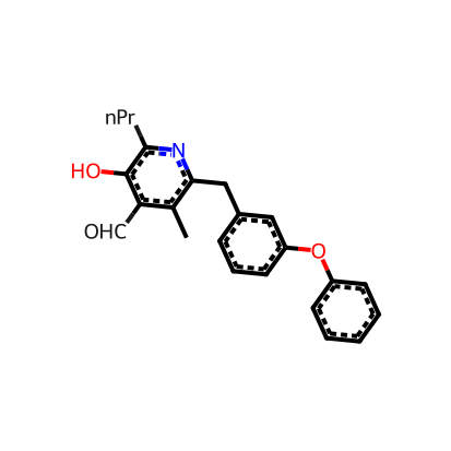 CCCc1nc(Cc2cccc(Oc3ccccc3)c2)c(C)c(C=O)c1O